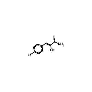 N#C/C(=C\c1ccc(Cl)cc1)C(N)=O